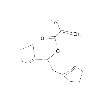 C=C(C)C(=O)OC(CC1=CCCC1)C1=CCCC1